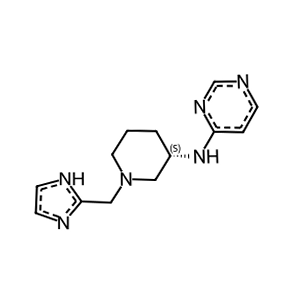 c1cc(N[C@H]2CCCN(Cc3ncc[nH]3)C2)ncn1